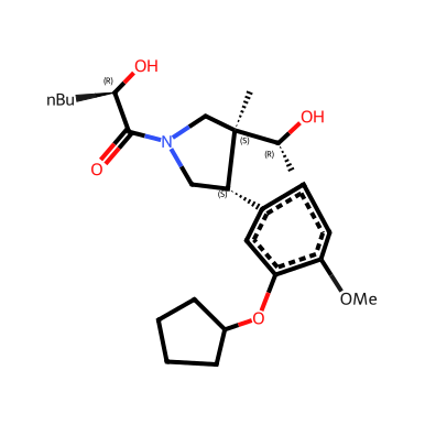 CCCC[C@@H](O)C(=O)N1C[C@@H](c2ccc(OC)c(OC3CCCC3)c2)[C@](C)([C@@H](C)O)C1